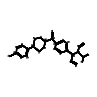 C=CC(C(C)C)N(C=C)c1ccc(C(=C)N2CCN(c3ccc(C)cn3)CC2)cn1